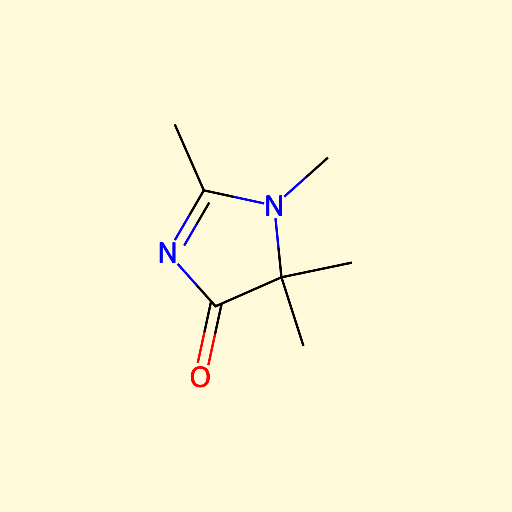 CC1=NC(=O)C(C)(C)N1C